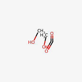 CO.CO.O=C=O